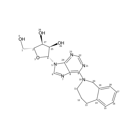 OC[C@H]1O[C@@H](n2cnc3c(N4CCCc5ccccc5C4)ncnc32)[C@H](O)[C@@H]1O